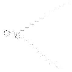 CCCCCCCCCCCCCCCCCCCc1n(Cc2ccccc2)cc[n+]1CCCCCCCCCCCCCCCCC